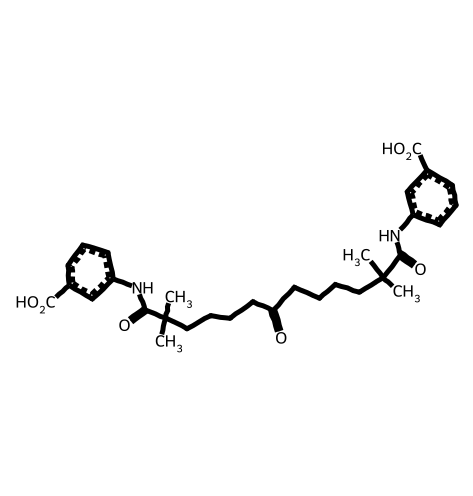 CC(C)(CCCCC(=O)CCCCC(C)(C)C(=O)Nc1cccc(C(=O)O)c1)C(=O)Nc1cccc(C(=O)O)c1